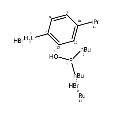 Br.Br.CCCCP(O)CCCC.Cc1ccc(C(C)C)cc1.[Ru]